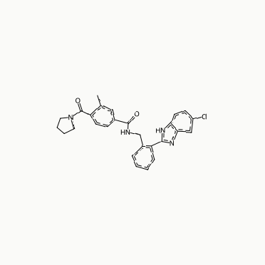 Cc1cc(C(=O)NCc2ccccc2-c2nc3cc(Cl)ccc3[nH]2)ccc1C(=O)N1CCCC1